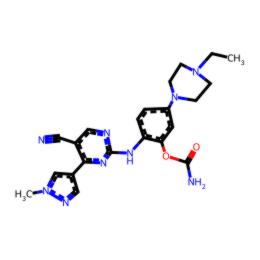 CCN1CCN(c2ccc(Nc3ncc(C#N)c(-c4cnn(C)c4)n3)c(OC(N)=O)c2)CC1